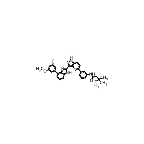 COc1cc(F)cc(-c2cccc3[nH]c(-c4n[nH]c5ccc(-c6cccc(NC(=O)CC(C)(C)C)c6)nc45)nc23)c1